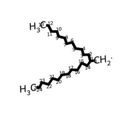 [CH2]C(CCCCCCCCCCCC)CCCCCCCCCCCC